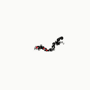 Nc1ncnc2c1c(-c1ccc(Oc3ccccc3)cc1)nn2[C@@H]1CCCN(C2CCN(C(=O)N3CCN(CCCC4CCN(c5ccc6c(c5)CN(C5CCC(=O)NC5=O)C6=O)CC4)CC3)CC2)C1